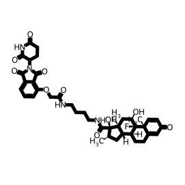 C[C@H]1C[C@H]2[C@@H]3CCC4=CC(=O)C=C[C@]4(C)[C@@]3(F)[C@@H](O)C[C@]2(C)[C@@]1(O)C(=O)NCCCCNC(=O)COc1cccc2c1C(=O)N(C1CCC(=O)NC1=O)C2=O